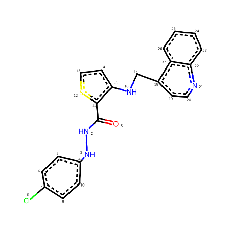 O=C(NNc1ccc(Cl)cc1)c1sccc1NCc1ccnc2ccccc12